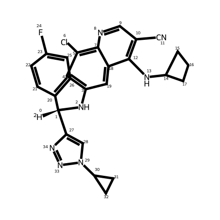 [2H][C@](Nc1cc(Cl)c2ncc(C#N)c(NC3CCC3)c2c1)(c1ccc(F)cc1)c1cn(C2CC2)nn1